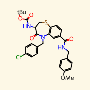 COc1ccc(CNC(=O)c2ccc3c(c2)N(Cc2ccc(Cl)cc2)C(=O)[C@@H](NC(=O)OC(C)(C)C)CS3)cc1